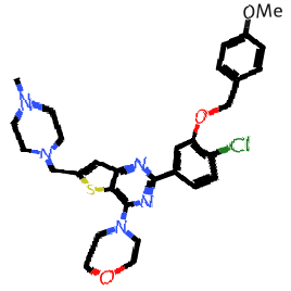 COc1ccc(COc2cc(-c3nc(N4CCOCC4)c4sc(CN5CCN(C)CC5)cc4n3)ccc2Cl)cc1